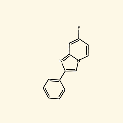 Fc1ccn2cc(-c3ccccc3)nc2c1